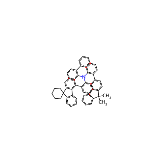 CC1(C)c2ccccc2-c2cc(-c3ccccc3N(c3ccccc3-c3ccccc3)c3ccccc3-c3cccc4c3-c3ccccc3C43CCCCC3)ccc21